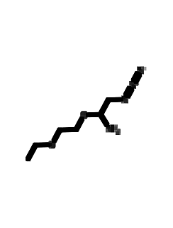 CCOCCOC(N)CN=[N+]=[N-]